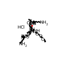 C#CCOCCOCCOCCNc1nc(N2CCN(C(=O)Cn3cc(CCCCN)nn3)CC2)nc(N2CCN(C(=O)[C@H]([C@@H](C)CC)n3cc(CCCCN)nn3)CC2)n1.Cl